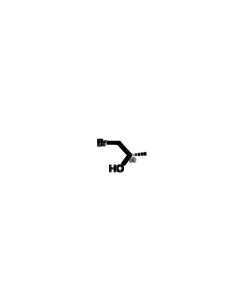 C[C@H](O)CBr